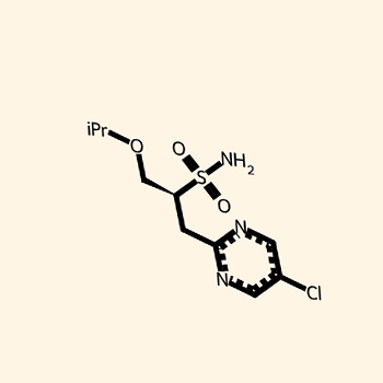 CC(C)OC[C@H](Cc1ncc(Cl)cn1)S(N)(=O)=O